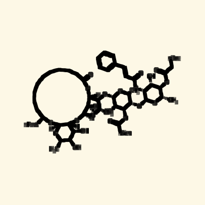 CCCCCCCCCCCC(=O)O[C@@H]1[C@@H](O)[C@@H](OC(=O)/C=C/c2ccccc2)[C@H](O[C@@H]2[C@@H](OC(=O)CCCCCCCCC)[C@@H](O)[C@H](O[C@@H]3[C@H]4OC(=O)CCCCCCCCC[C@H](CCCCC)O[C@@H]5O[C@H](C)[C@H](O)[C@H](O)[C@H]5O[C@H](O[C@H]3C)[C@@H]4O)O[C@H]2C)O[C@H]1C